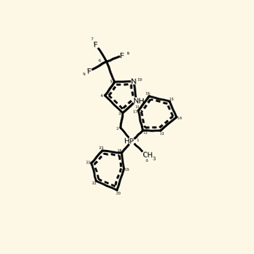 C[PH](Cc1cc(C(F)(F)F)n[nH]1)(c1ccccc1)c1ccccc1